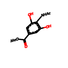 COC(=O)c1cc(O)c(NC(C)=O)c(O)c1